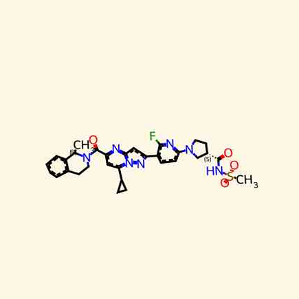 C[C@@H]1c2ccccc2CCN1C(=O)c1cc(C2CC2)n2nc(-c3ccc(N4CC[C@H](C(=O)NS(C)(=O)=O)C4)nc3F)cc2n1